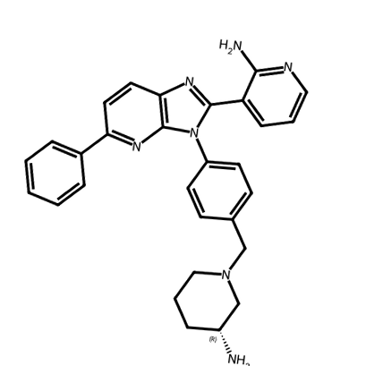 Nc1ncccc1-c1nc2ccc(-c3ccccc3)nc2n1-c1ccc(CN2CCC[C@@H](N)C2)cc1